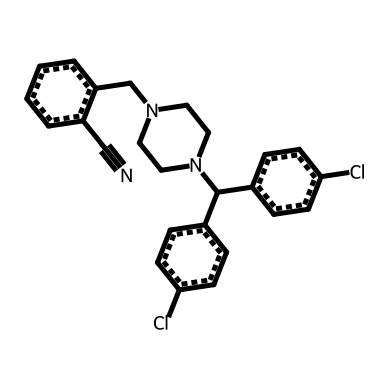 N#Cc1ccccc1CN1CCN(C(c2ccc(Cl)cc2)c2ccc(Cl)cc2)CC1